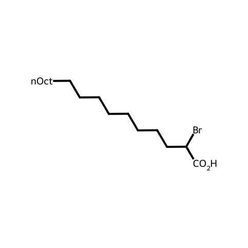 CCCCCCCCCCCCCCCCC(Br)C(=O)O